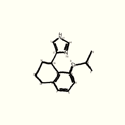 CC(C)Oc1cccc2c1C(c1c[nH]cn1)CCC2